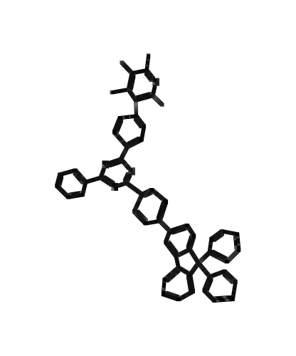 Cc1nc(C)c(-c2ccc(-c3nc(-c4ccccc4)nc(-c4ccc(-c5ccc6c(c5)-c5ccccc5C6(c5ccccc5)c5ccccc5)cc4)n3)cc2)c(C)c1C